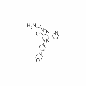 CC(CN)n1cnc2c(-c3cccnc3)nc(-c3ccc(N4CCOCC4)cc3)cc2c1=O